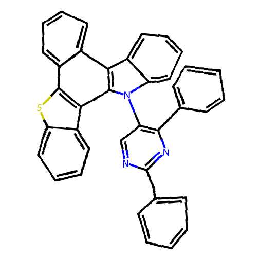 c1ccc(-c2ncc(-n3c4ccccc4c4c5ccccc5c5sc6ccccc6c5c43)c(-c3ccccc3)n2)cc1